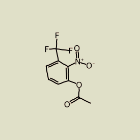 CC(=O)Oc1cccc(C(F)(F)F)c1[N+](=O)[O-]